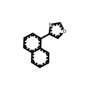 [c]1nc(-c2cccc3ccccc23)co1